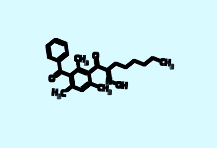 CCCCCCC(=NO)C(=O)c1c(C)cc(C)c(C(=O)c2ccccc2)c1C